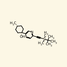 CC(C)(C)[Si](C)(C)C#Cc1ccc([C@]2(O)CC[C@@H](C)CC2)cn1